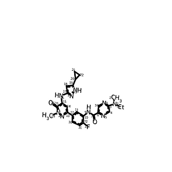 CCN(C)c1cnc(C(=O)Nc2cc(-c3cc(Nc4cc(C5CC5)[nH]n4)c(=O)n(C)n3)ccc2F)cn1